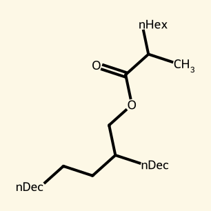 CCCCCCCCCCCCC(CCCCCCCCCC)COC(=O)C(C)CCCCCC